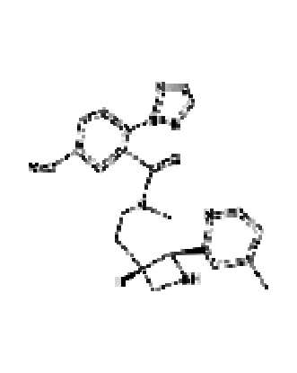 COc1ccc(-n2nccn2)c(C(=O)N2CC[C@H]3CN[C@@]3(c3cc(C)ccn3)C2)c1